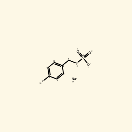 O=S(=O)([O-])SCc1ccc(F)cc1.[Na+]